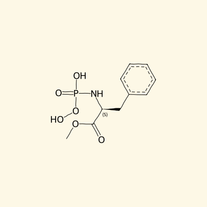 COC(=O)[C@H](Cc1ccccc1)NP(=O)(O)OO